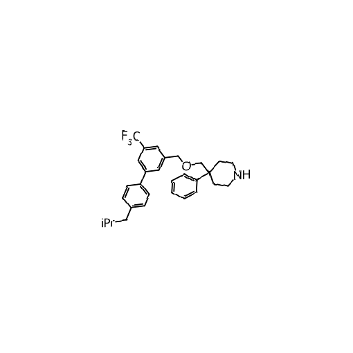 CC(C)Cc1ccc(-c2cc(COCC3(c4ccccc4)CCNCC3)cc(C(F)(F)F)c2)cc1